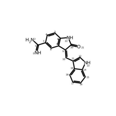 N=C(N)c1ccc2c(c1)C(=Cc1c[nH]c3ccccc13)C(=O)N2